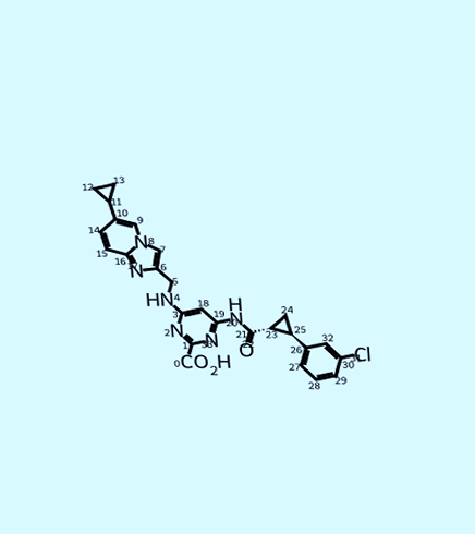 O=C(O)c1nc(NCc2cn3cc(C4CC4)ccc3n2)cc(NC(=O)[C@@H]2C[C@H]2c2cccc(Cl)c2)n1